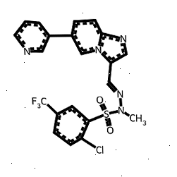 CN(N=Cc1cnc2ccc(-c3cccnc3)cn12)S(=O)(=O)c1cc(C(F)(F)F)ccc1Cl